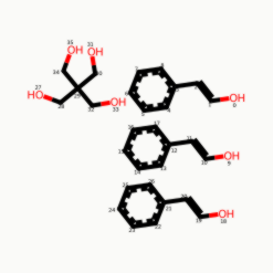 OC=Cc1ccccc1.OC=Cc1ccccc1.OC=Cc1ccccc1.OCC(CO)(CO)CO